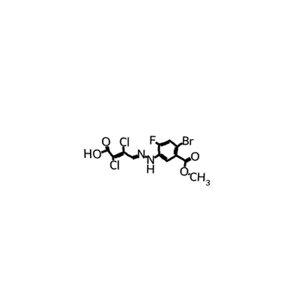 COC(=O)c1cc(NN=CC(Cl)=C(Cl)C(=O)O)c(F)cc1Br